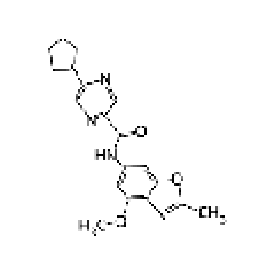 COc1cc(NC(=O)c2cnc(N3CCCC3)cn2)cc2oc(C)nc12